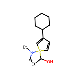 CCC(O)S1(N(CC)CC)C=CC(C2CCCCC2)=C1